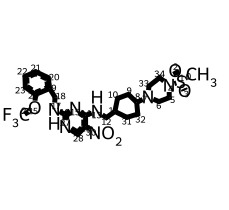 CS(=O)(=O)N1CCN(C2CCC(CNc3nc(NCc4ccccc4OC(F)(F)F)ncc3[N+](=O)[O-])CC2)CC1